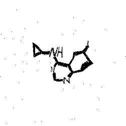 Ic1ccc2ncnc(NC3CC3)c2c1